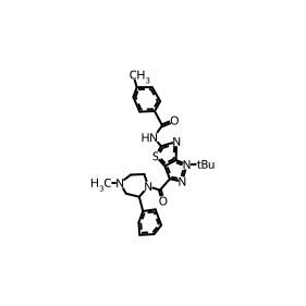 Cc1ccc(C(=O)Nc2nc3c(s2)c(C(=O)N2CCN(C)CC2c2ccccc2)nn3C(C)(C)C)cc1